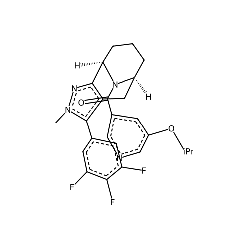 CC(C)Oc1cncc(C(=O)N2[C@H]3CCC[C@@H]2c2nn(C)c(-c4cc(F)c(F)c(F)c4)c2C3)c1